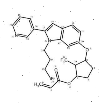 C=CC(=O)OC1CCC(Oc2ccc3cc(-c4cccnc4)n(CCCC(C)C)c3c2)C1C(F)(F)F